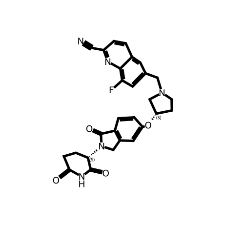 N#Cc1ccc2cc(CN3CC[C@H](Oc4ccc5c(c4)CN([C@H]4CCC(=O)NC4=O)C5=O)C3)cc(F)c2n1